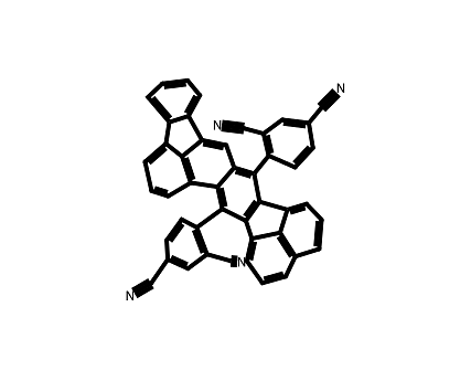 N#Cc1ccc(-c2c3cc4c5ccccc5c5cccc(c3c(-c3ccc(C#N)cc3C#N)c3c6cccc7cccc(c23)c76)c54)c(C#N)c1